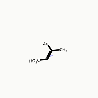 CC(=O)/C(C)=C\C(=O)O